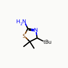 CC(C)(C)C1N=C(N)SC1(C)C